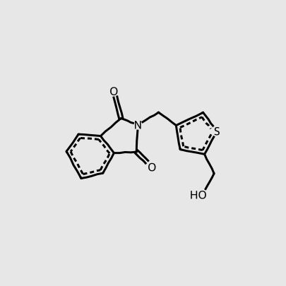 O=C1c2ccccc2C(=O)N1Cc1csc(CO)c1